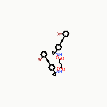 O=C(CCC(=O)ONC1(c2ccc(C#Cc3ccccc3Br)cc2)CC1)ONC1(c2ccc(C#Cc3ccccc3Br)cc2)CC1